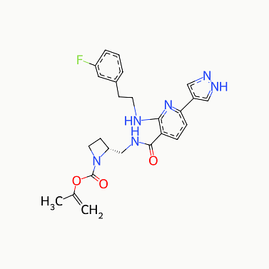 C=C(C)OC(=O)N1CC[C@@H]1CNC(=O)c1ccc(-c2cn[nH]c2)nc1NCCc1cccc(F)c1